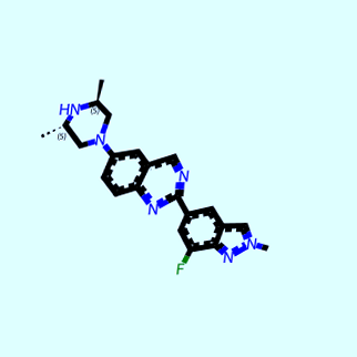 C[C@H]1CN(c2ccc3nc(-c4cc(F)c5nn(C)cc5c4)ncc3c2)C[C@H](C)N1